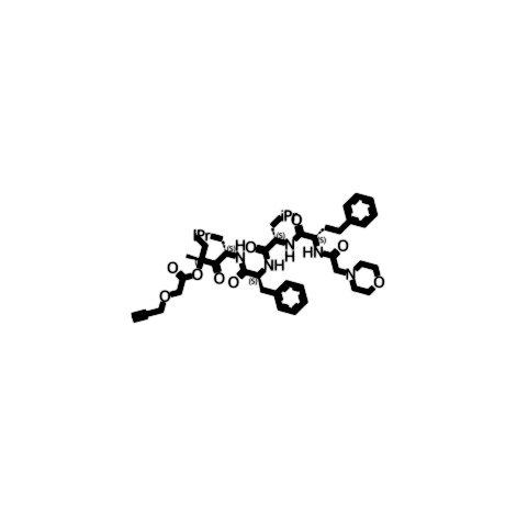 C#CCOCC(=O)O[C@](C)(CI)C(=O)[C@H](CC(C)C)NC(=O)[C@H](Cc1ccccc1)NC(=O)[C@H](CC(C)C)NC(=O)[C@H](CCc1ccccc1)NC(=O)CN1CCOCC1